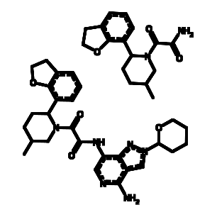 CC1CCC(c2cccc3c2OCC3)N(C(=O)C(=O)Nc2cnc(N)c3cn(C4CCCCO4)nc23)C1.CC1CCC(c2cccc3c2OCC3)N(C(=O)C(N)=O)C1